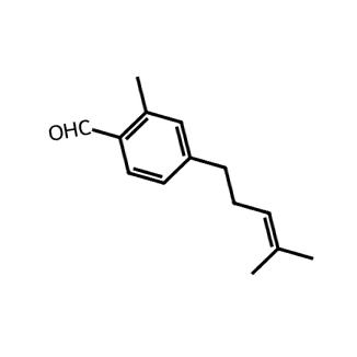 CC(C)=CCCc1ccc(C=O)c(C)c1